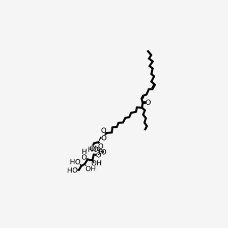 CCCCCCCCC/C=C\CC/C=C\C(=O)C(CCCCCC)CCCCCCCCCCC(=O)OC[C@H](CO)OP(=O)(O)OC[C@@H](O)[C@@H](O)[C@H](O)[C@H](O)CO